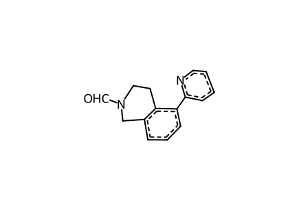 O=CN1CCc2c(cccc2-c2ccccn2)C1